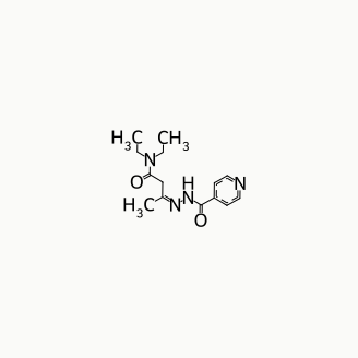 CCN(CC)C(=O)CC(C)=NNC(=O)c1ccncc1